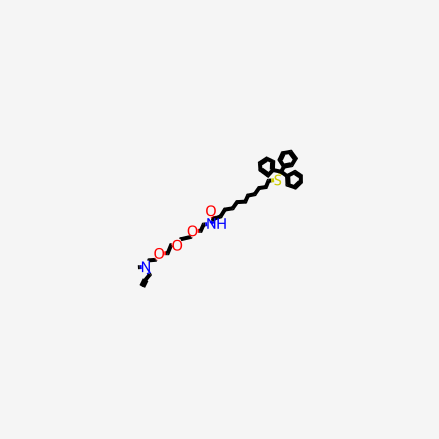 C#CCN(C)CCOCCOCCOCCNC(=O)CCCCCCCCCCSC(c1ccccc1)(c1ccccc1)c1ccccc1